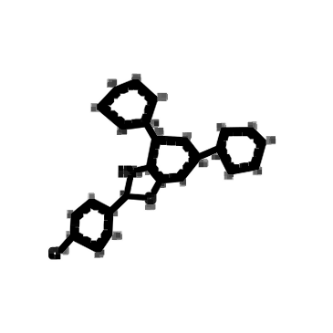 Clc1ccc(C2Nc3c(cc(-c4ccccc4)cc3-c3ccccc3)O2)cc1